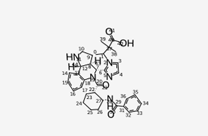 CC(n1ccnc1[C@H]1[C@@H]2CCN[C@H]2c2ccccc2N1C(=O)[C@H]1CCCC[C@H]1NC(=O)c1ccccc1)C(C)(C)C(=O)O